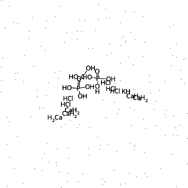 Cl.Cl.Cl.Cl.Cl.O=C(O)O.O=P(O)(O)O.O=P(O)(O)O.[CaH2].[CaH2].[CaH2].[CaH2].[CaH2].[KH]